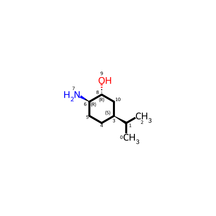 CC(C)[C@H]1CC[C@@H](N)[C@H](O)C1